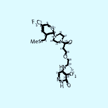 CSCc1cc(C(F)(F)F)cnc1N1CCN(C(=O)CCOC[C@H](C)Nc2cn[nH]c(=O)c2C(F)(F)F)CC1